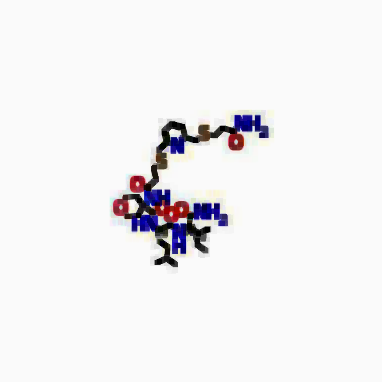 CC[C@H](C)[C@H](NC(=O)[C@H](CCC(C)C)NC(=O)C1(NC(=O)CCSCc2cccc(CSCCC(N)=O)n2)CCOCC1)C(N)=O